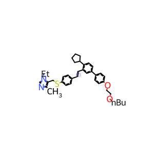 CCCCOCCOc1ccc(-c2ccc(C3CCCC3)c(/C=C/c3ccc(SCc4c(C)ncn4CC)cc3)c2)cc1